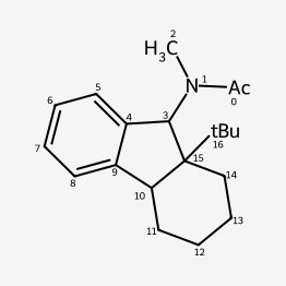 CC(=O)N(C)C1c2ccccc2C2CCCCC21C(C)(C)C